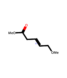 COC/C=C/CC(=O)OC